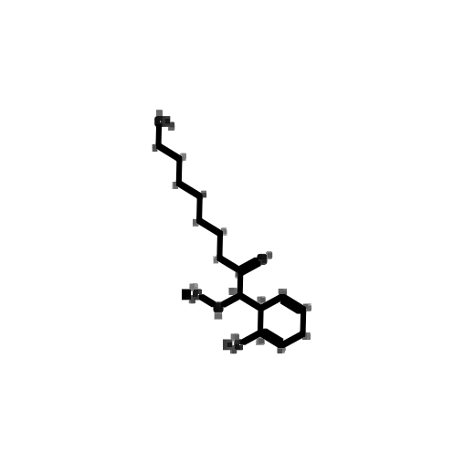 CCCCCCCCC(=O)C(OC)C1C=CCC=C1C